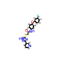 O=C(CSc1nc(-c2cccnc2)n[nH]1)Nc1ccc(Oc2cccc(F)c2)cc1